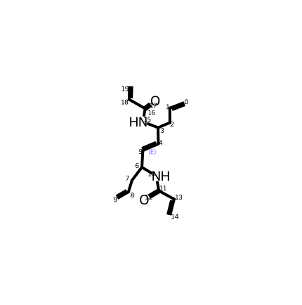 C=CCC(/C=C/C(CC=C)NC(=O)C=C)NC(=O)C=C